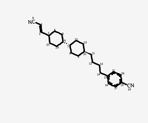 N#C/C=C/C1CCC([C@H]2CC[C@H](CCCCc3ccc(C#N)cc3)CC2)CC1